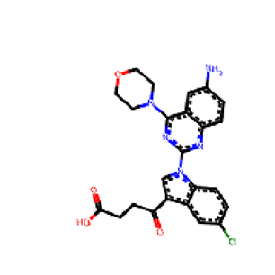 Nc1ccc2nc(-n3cc(C(=O)CCC(=O)O)c4cc(Cl)ccc43)nc(N3CCOCC3)c2c1